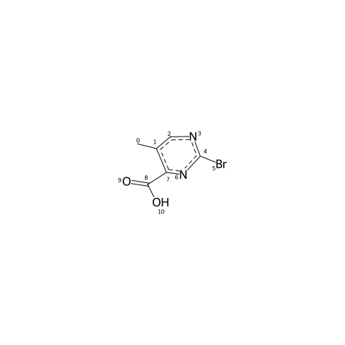 Cc1cnc(Br)nc1C(=O)O